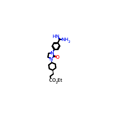 CCOC(=O)CC[C@H]1CC[C@@H](N2CCN(c3ccc(C(=N)N)cc3)C2=O)CC1